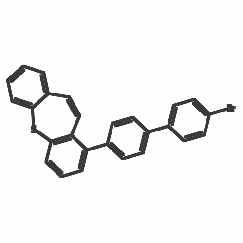 Brc1ccc(-c2ccc(-c3cccc4c3C=Cc3ccccc3S4)cc2)cc1